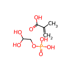 C=C(C)C(=O)O.O=P(O)(O)OCC(O)O